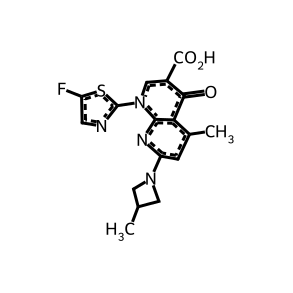 Cc1cc(N2CC(C)C2)nc2c1c(=O)c(C(=O)O)cn2-c1ncc(F)s1